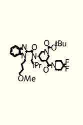 COCCCCn1c(C(=O)N(CC(C)C)[C@H]2CC(C(=O)N3CCC(F)(F)CC3)CN(C(=O)OC(C)(C)C)C2)nc2ccccc21